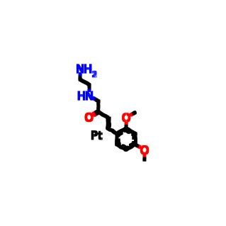 COc1ccc(/C=C/C(=O)CNCCN)c(OC)c1.[Pt]